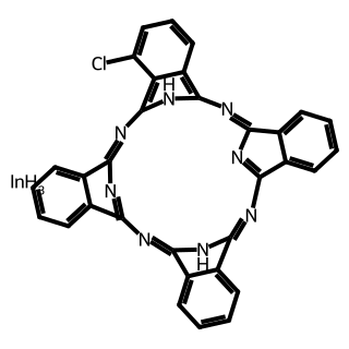 Clc1cccc2c3nc4nc(nc5[nH]c(nc6nc(nc([nH]3)c12)-c1ccccc1-6)c1ccccc51)-c1ccccc1-4.[InH3]